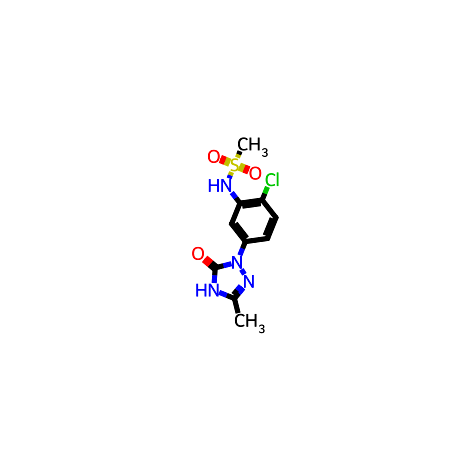 Cc1nn(-c2ccc(Cl)c(NS(C)(=O)=O)c2)c(=O)[nH]1